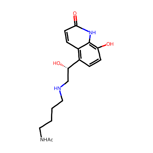 [CH2]C(=O)NCCCCNC[C@H](O)c1ccc(O)c2[nH]c(=O)ccc12